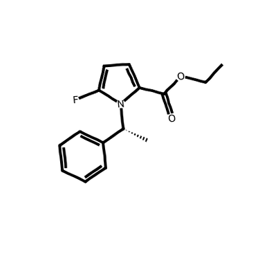 CCOC(=O)c1ccc(F)n1[C@H](C)c1ccccc1